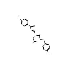 COc1ccc(-c2csc(N(CC(F)F)C(=O)CCc3ccc(N)cc3)n2)cc1